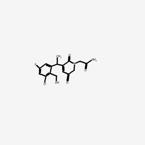 CC(C1=CC(=O)CN(CC(N)=O)C1=O)c1cc(F)cc(Cl)c1CO